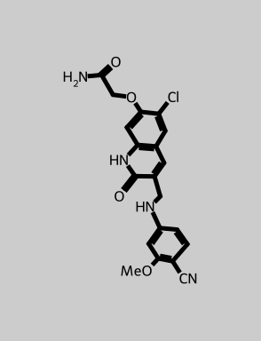 COc1cc(NCc2cc3cc(Cl)c(OCC(N)=O)cc3[nH]c2=O)ccc1C#N